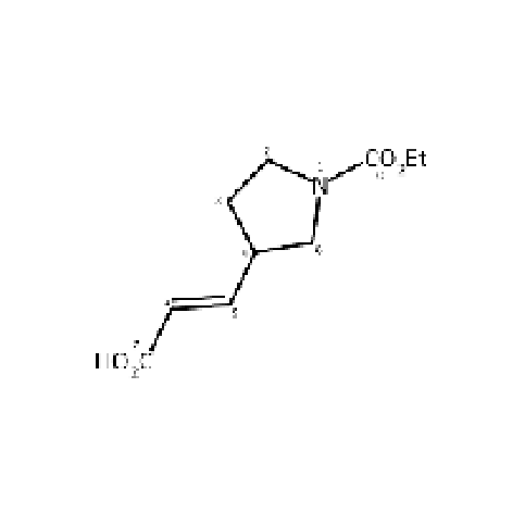 CCOC(=O)N1CCC(C=CC(=O)O)C1